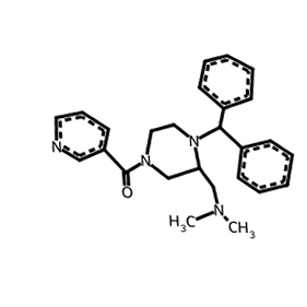 CN(C)CC1CN(C(=O)c2cccnc2)CCN1C(c1ccccc1)c1ccccc1